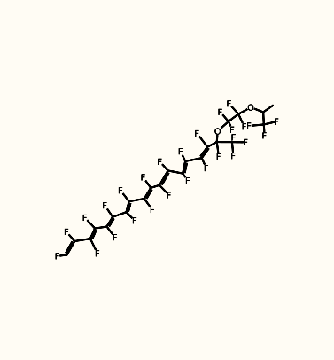 CC(OC(F)(F)C(F)(F)OC(F)(/C(F)=C(F)/C(F)=C(F)/C(F)=C(F)/C(F)=C(F)/C(F)=C(F)/C(F)=C(F)/C(F)=C(F)/C(F)=C/F)C(F)(F)F)C(F)(F)F